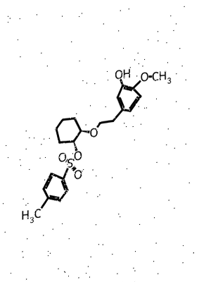 COc1ccc(CCO[C@@H]2CCCC[C@@H]2OS(=O)(=O)c2ccc(C)cc2)cc1O